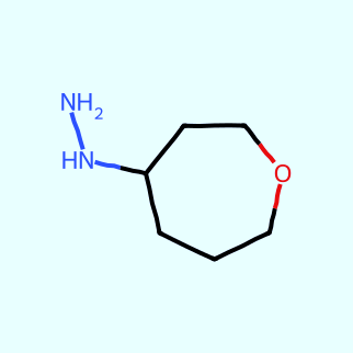 NNC1CCCOCC1